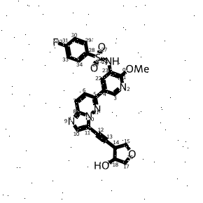 COc1ncc(-c2ccc3ncc(C#CC4COCC4O)n3n2)cc1NS(=O)(=O)c1ccc(F)cc1